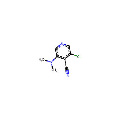 CN(C)c1cncc(Cl)c1C#N